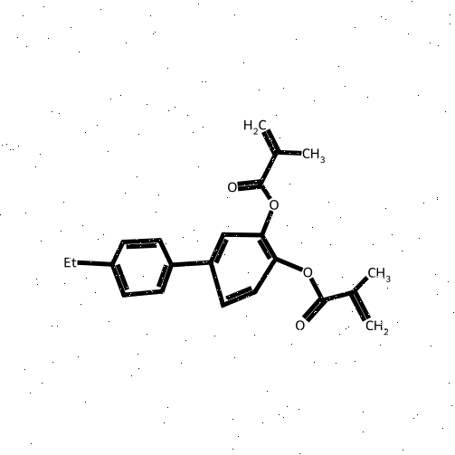 C=C(C)C(=O)Oc1ccc(-c2ccc(CC)cc2)cc1OC(=O)C(=C)C